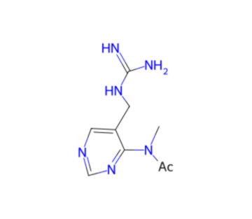 CC(=O)N(C)c1ncncc1CNC(=N)N